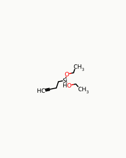 C#CCC[SiH](OCC)OCC